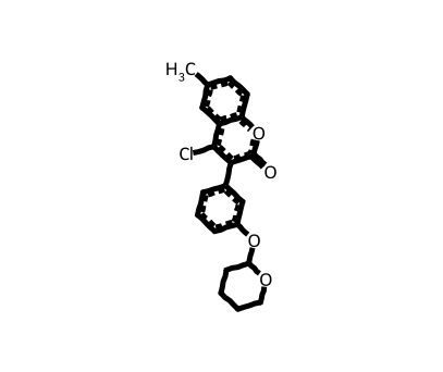 Cc1ccc2oc(=O)c(-c3cccc(OC4CCCCO4)c3)c(Cl)c2c1